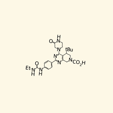 CCNC(=O)Nc1ccc(-c2nc3c(c(N4CCNC(=O)C4)n2)C(C(C)(C)C)CN(C(=O)O)C3)cc1